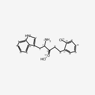 Cl.NC(Cc1c[nH]c2ccccc12)C(=O)CCc1ccccc1Cl